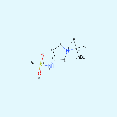 CCCCC(C)(CC)N1CC[C@@H](NS(C)(=O)=O)C1